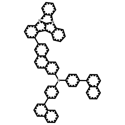 c1ccc2c(-c3ccc(N(c4ccc(-c5cccc6ccccc56)cc4)c4ccc5c(ccc6cc(-c7cccc8c7c7c9ccccc9n9c%10ccccc%10n8c79)ccc65)c4)cc3)cccc2c1